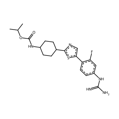 CC(C)OC(=O)NC1CCC(c2ncc(-c3ccc(NC(=N)N)cc3F)s2)CC1